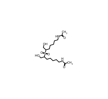 CC(=O)NCCCCCC(CO)S(=O)(=O)C(CO)CCCCCNC(C)=O